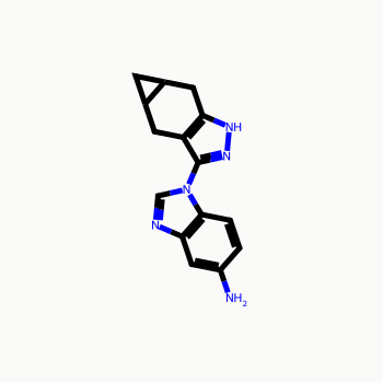 Nc1ccc2c(c1)ncn2-c1n[nH]c2c1CC1CC1C2